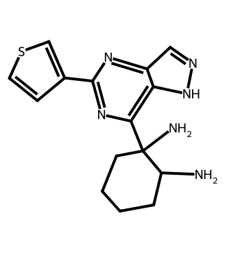 NC1CCCCC1(N)c1nc(-c2ccsc2)nc2cn[nH]c12